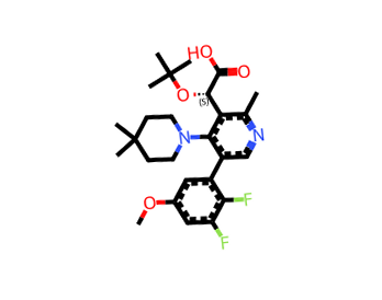 COc1cc(F)c(F)c(-c2cnc(C)c([C@H](OC(C)(C)C)C(=O)O)c2N2CCC(C)(C)CC2)c1